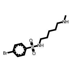 CNCCCCCNS(=O)(=O)c1ccc(Br)cc1